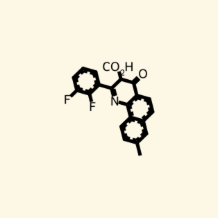 Cc1ccc2c3c(ccc2c1)C(=O)C(C(=O)O)C(c1cccc(F)c1F)=N3